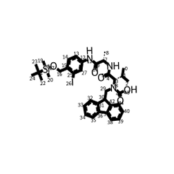 CC(C)[C@@H](C(=O)N[C@@H](C)C(=O)Nc1ccc(CO[Si](C)(C)C(C)(C)C)c(I)c1)N(CC1c2ccccc2-c2ccccc21)C(=O)O